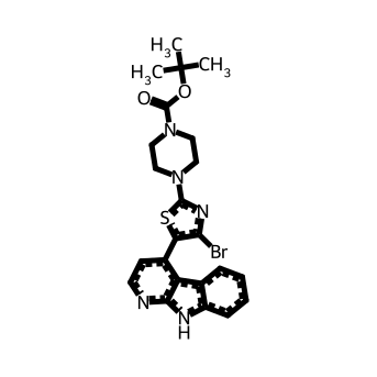 CC(C)(C)OC(=O)N1CCN(c2nc(Br)c(-c3ccnc4[nH]c5ccccc5c34)s2)CC1